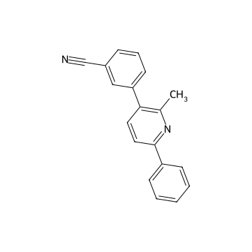 Cc1nc(-c2ccccc2)ccc1-c1cccc(C#N)c1